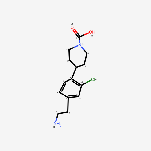 NCCc1ccc(C2CCN(C(=O)O)CC2)c(Cl)c1